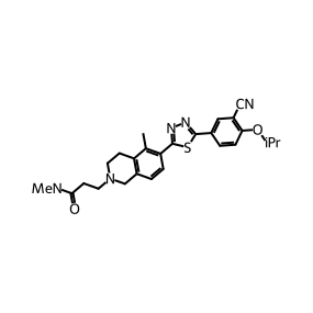 CNC(=O)CCN1CCc2c(ccc(-c3nnc(-c4ccc(OC(C)C)c(C#N)c4)s3)c2C)C1